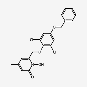 Cc1cc(COc2c(Cl)cc(OCc3ccccc3)cc2Cl)n(O)c(=O)c1